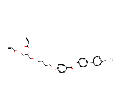 C=CC(=O)OCC(COCCCCOc1ccc(C(=O)Oc2ccc(-c3ccc(C#N)cc3)cc2)cc1)OC(=O)C=C